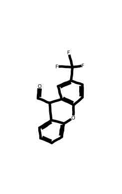 O=CC1c2ccccc2Oc2ccc(C(F)(F)F)cc21